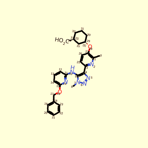 Cc1nc(-c2nnn(C)c2Nc2cccc(OCc3ccccc3)n2)ccc1O[C@H]1CCC[C@H](C(=O)O)C1